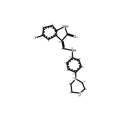 O=C1Nc2ccc(F)cc2C1=CNc1ccc(N2CCSCC2)cc1